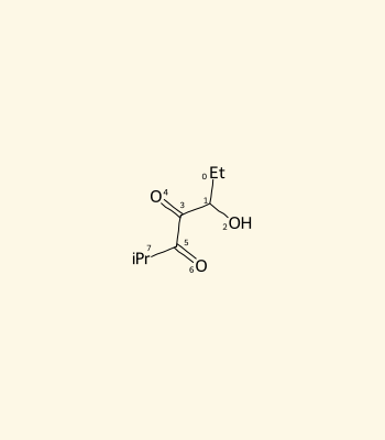 CCC(O)C(=O)C(=O)C(C)C